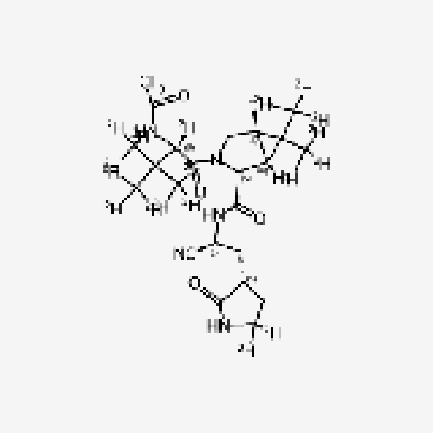 [2H]C1([2H])C[C@@H](C[C@@H](C#N)NC(=O)[C@@H]2[C@@H]3[C@H](CN2C(=O)[C@@]([2H])(NC(=O)C(F)(F)F)C(C([2H])([2H])[2H])(C([2H])([2H])[2H])C([2H])([2H])[2H])C3(C([2H])([2H])[2H])C([2H])([2H])[2H])C(=O)N1